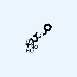 CC(C)[C@@H](COCc1ccccc1)CC1COC(C)(C)N1C(=O)O